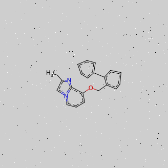 Cc1cn2cccc(OCc3ccccc3-c3ccccc3)c2n1